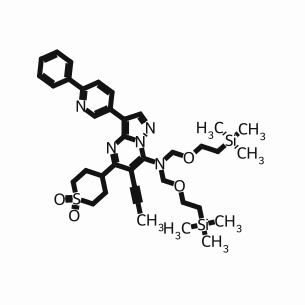 CC#Cc1c(C2CCS(=O)(=O)CC2)nc2c(-c3ccc(-c4ccccc4)nc3)cnn2c1N(COCC[Si](C)(C)C)COCC[Si](C)(C)C